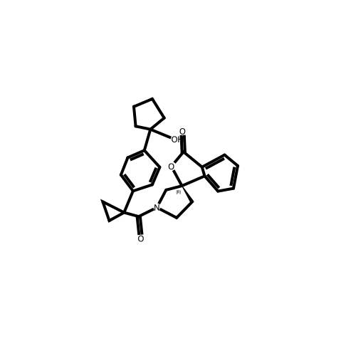 O=C1O[C@]2(CCN(C(=O)C3(c4ccc(C5(O)CCCC5)cc4)CC3)C2)c2ccccc21